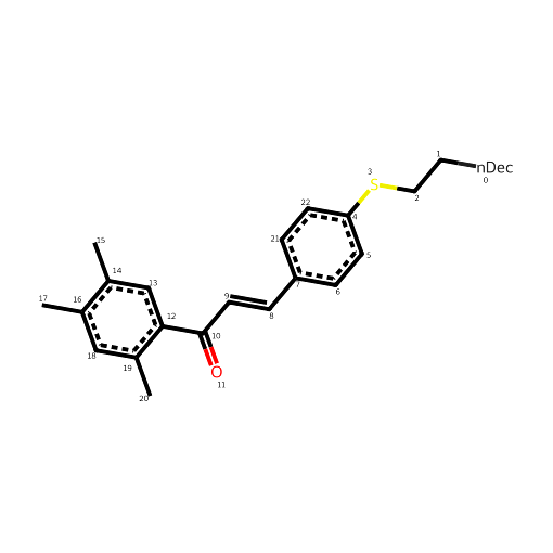 CCCCCCCCCCCCSc1ccc(C=CC(=O)c2cc(C)c(C)cc2C)cc1